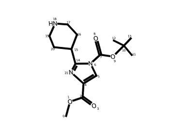 COC(=O)c1cn(C(=O)OC(C)(C)C)c(C2CCNCC2)n1